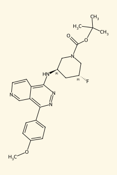 COc1ccc(-c2nnc(N[C@@H]3C[C@@H](F)CN(C(=O)OC(C)(C)C)C3)c3ccncc23)cc1